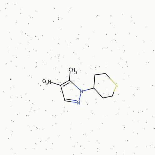 Cc1c([N+](=O)[O-])cnn1C1CCSCC1